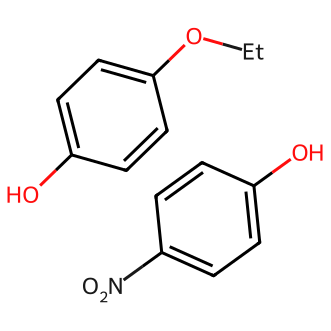 CCOc1ccc(O)cc1.O=[N+]([O-])c1ccc(O)cc1